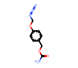 [N-]=[N+]=NCOc1ccc(COC(N)=O)cc1